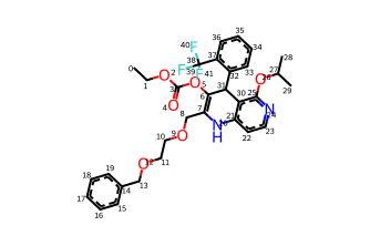 CCOC(=O)OC1=C(COCCOCc2ccccc2)Nc2ccnc(OC(C)C)c2C1c1ccccc1C(F)(F)F